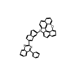 c1ccc(-c2nc(-c3ccc4ccc(-n5c6ccc7cccc8oc9cccc%10ccc5c(c%109)c6c78)cc4c3)nc3ccccc23)cc1